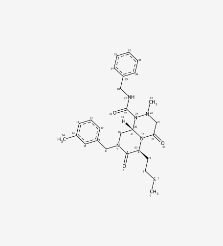 CSCC[C@H]1C(=O)N(Cc2cccc(C)c2)C[C@H]2N1C(=O)CN(C)N2C(=O)NCc1ccccc1